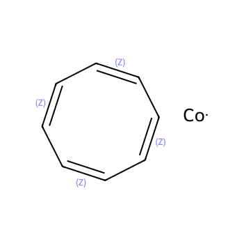 C1=C\C=C/C=C\C=C/1.[Co]